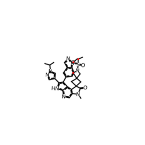 CCS(=O)(=O)N1CC2(C1)CC1(C2)C(=O)N(C)c2cnc3[nH]c(-c4cnn(C(C)C)c4)c(-c4ccc5c(cnn5C)c4)c3c21